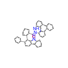 NN(C(=O)c1ccccc1-c1c(-c2ccccc2)ccc2c1[nH]c1ccccc12)c1cccc2c3ccccc3c3ccccc3c12